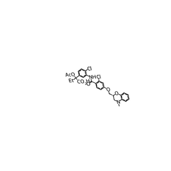 CCC(OC(C)=O)(C(=O)O)c1ccc(Cl)c(NC(=O)c2ccc(OC[C@@H]3CN(C)c4ccccc4O3)cc2Cl)c1